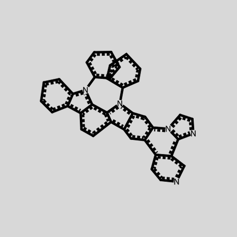 c1ccc(-n2c3ccccc3c3ccc4c5cc6c7ccncc7c7nccn7c6cc5n(-c5ccccc5)c4c32)cc1